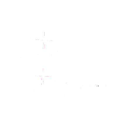 O=P([O-])([O-])OP(=O)([O-])OP(=O)([O-])[O-].O=P([O-])([O-])OP(=O)([O-])OP(=O)([O-])[O-].[GeH2+2].[GeH2+2].[GeH2+2].[GeH2+2].[GeH2+2]